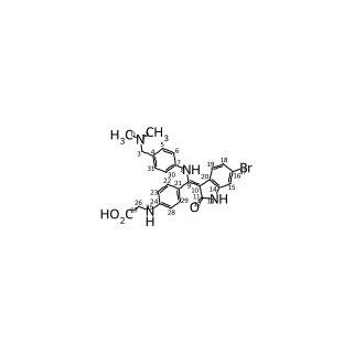 CN(C)Cc1ccc(NC(=C2C(=O)Nc3cc(Br)ccc32)c2ccc(NCC(=O)O)cc2)cc1